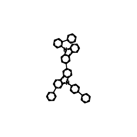 c1ccc(-c2ccc(-n3c4ccc(-c5ccc6c(c5)c5ccccc5n6-c5ccccc5-c5ccccc5)cc4c4ccc(-c5ccccc5)cc43)cc2)cc1